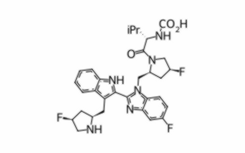 CC(C)[C@H](NC(=O)O)C(=O)N1C[C@@H](F)C[C@H]1Cn1c(-c2[nH]c3ccccc3c2C[C@@H]2C[C@H](F)CN2)nc2cc(F)ccc21